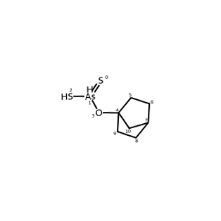 S=[AsH](S)OC12CCC(CC1)C2